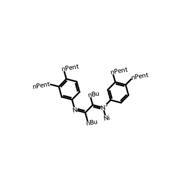 CCCCCc1ccc(N=C(CCCC)C(CCCC)=[N+]([Ni])c2ccc(CCCCC)c(CCCCC)c2)cc1CCCCC